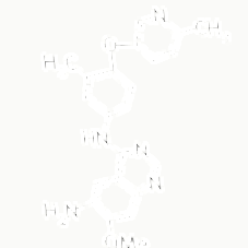 COc1cc2ncnc(Nc3ccc(Oc4ccc(C)nc4)c(C)c3)c2cc1N